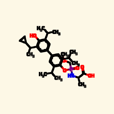 COCP(=O)(NC(C)C(=O)O)Oc1c(C(C)C)cc(-c2cc(C(C)C)c(O)c(C(C)C3CC3)c2)cc1C(C)C